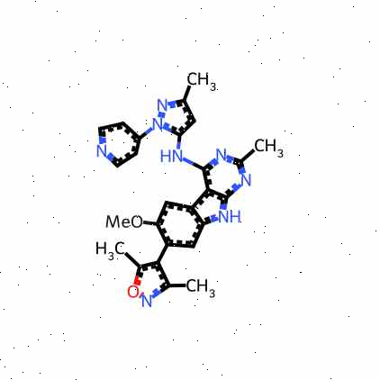 COc1cc2c(cc1-c1c(C)noc1C)[nH]c1nc(C)nc(Nc3cc(C)nn3-c3ccncc3)c12